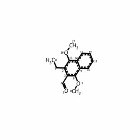 CCc1c(C=O)c(OC)c2ccccc2c1OC